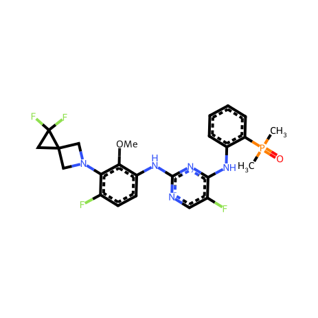 COc1c(Nc2ncc(F)c(Nc3ccccc3P(C)(C)=O)n2)ccc(F)c1N1CC2(C1)CC2(F)F